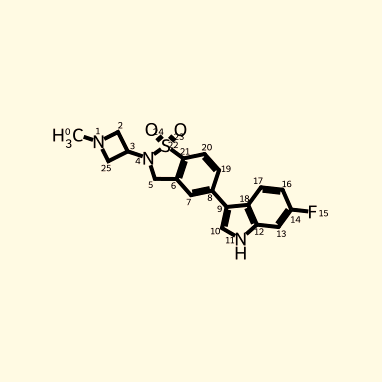 CN1CC(N2Cc3cc(-c4c[nH]c5cc(F)ccc45)ccc3S2(=O)=O)C1